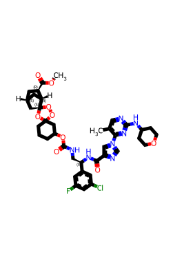 COC(=O)[C@@H]1C[C@@H]2C[C@H]1[C@]1(C2)OOC2(CCCC(OC(=O)NC[C@@H](NC(=O)c3cn(-c4nc(NC5CCOCC5)ncc4C)cn3)c3cc(F)cc(Cl)c3)C2)O1